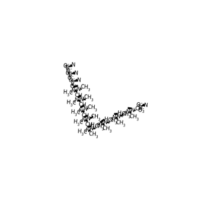 CCn1cc[n+](C)c1C.CCn1cc[n+](C)c1C.CCn1cc[n+](C)c1C.CCn1cc[n+](C)c1C.CCn1cc[n+](C)c1C.CCn1cc[n+](C)c1C.CCn1cc[n+](C)c1C.CCn1cc[n+](C)c1C.N#CB([O-])[O-].N#CB([O-])[O-].N#CB([O-])[O-].N#CB([O-])[O-]